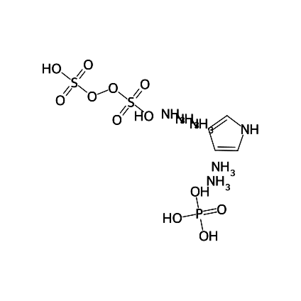 N.N.N.N.N.O=P(O)(O)O.O=S(=O)(O)OOS(=O)(=O)O.c1cc[nH]c1